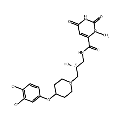 Cn1c(C(=O)NC[C@@H](O)CN2CCC(Oc3ccc(Cl)c(Cl)c3)CC2)cc(=O)[nH]c1=O